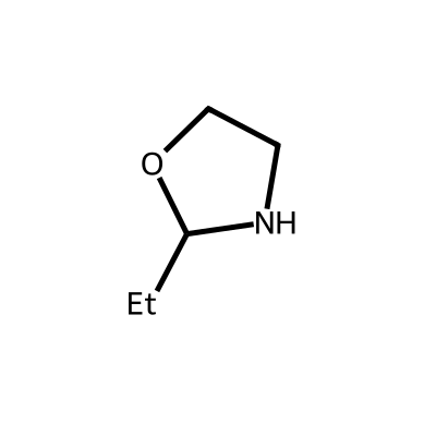 CCC1NCCO1